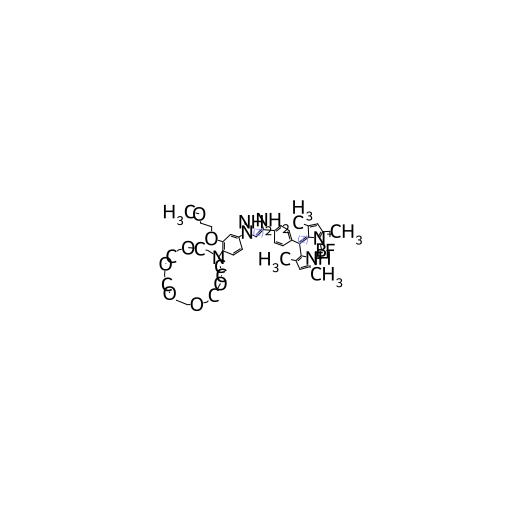 COCCOc1cc(N(N)/C=C(\N)c2ccc(/C(=C3\C(C)=CC(C)=[N+]3B(F)F)c3[nH]c(C)cc3C)cc2)ccc1N1CCOCCOCCOCCOCCOCC1